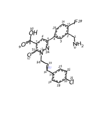 NCc1cc(-c2cc(C(=O)O)c(=O)n(C/C=C/c3ccc(Cl)cc3)n2)ccc1F